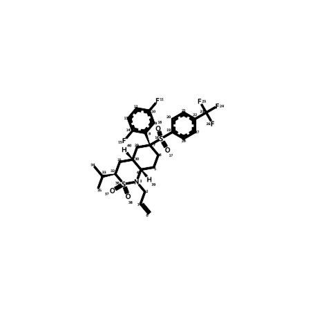 C=CCN1[C@H]2CC[C@@](c3cc(F)ccc3F)(S(=O)(=O)c3ccc(C(F)(F)F)cc3)C[C@H]2C[C@H](C(C)C)S1(=O)=O